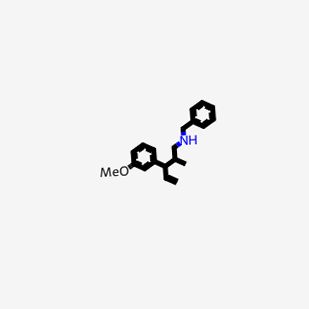 C=CC(c1cccc(OC)c1)C(C)CNCc1ccccc1